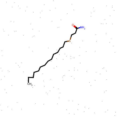 CCCCCCCCCCCCCCSCCC(N)=O